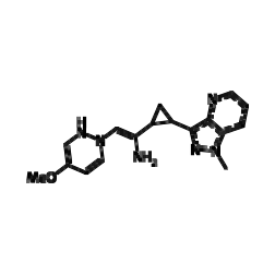 COC1=CNN(/C=C(\N)C2CC2c2nn(C)c3cccnc23)C=C1